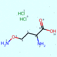 Cl.Cl.NOCCC(N)C(=O)O